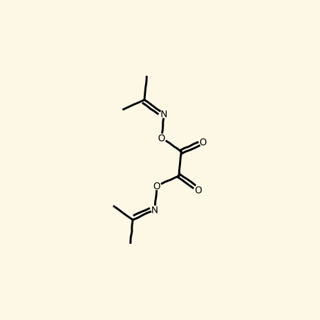 CC(C)=NOC(=O)C(=O)ON=C(C)C